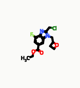 CCOC(=O)c1cc(F)c2nc(CCl)n(CC3CCO3)c2c1